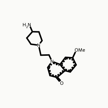 COc1ccc2c(=O)ccn(CCN3CCC(N)CC3)c2c1